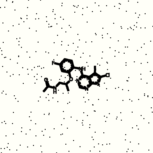 CC(=O)NCC(C)Oc1cc(F)ccc1Nc1ncnc2sc(Cl)c(C)c12